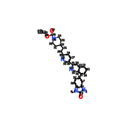 Cn1c(=O)n(C)c2cc(-c3cccc4cc(-c5ccc(CCC6CCN(C(=O)OC(C)(C)C)CC6)nc5)ncc34)ccc21